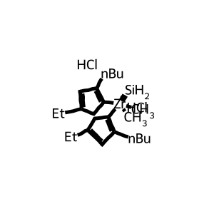 CCCCC1=[C]([Zr]([CH3])([CH3])(=[SiH2])[C]2=C(CCCC)C=C(CC)C2)CC(CC)=C1.Cl.Cl